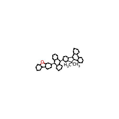 CC1(C)c2cc(-c3c4ccccc4c(-c4ccc5c(c4)oc4ccccc45)c4ccccc34)ccc2-c2c1c1ccccc1c1ccccc21